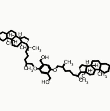 CC(CCC[C@@H](C)[C@H]1CC[C@H]2[C@@H]3CCC4CCCC[C@]4(C)[C@H]3CC[C@]12C)COc1cc(CO)c(OCC(C)CCC[C@@H](C)[C@H]2CC[C@H]3[C@@H]4CCC5CCCC[C@]5(C)[C@H]4CC[C@]23C)cc1CO